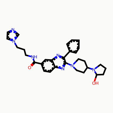 O=C(NCCCn1ccnc1)c1ccc2nc(N3CCC(N4CCCC4O)CC3)c(-c3ccccc3)nc2c1